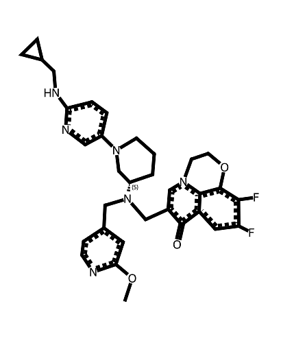 COc1cc(CN(Cc2cn3c4c(c(F)c(F)cc4c2=O)OCC3)[C@H]2CCCN(c3ccc(NCC4CC4)nc3)C2)ccn1